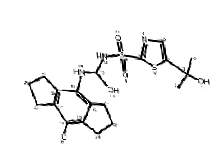 CC(C)(O)c1cnc(S(=O)(=O)NC(O)Nc2c3c(c(Cl)c4c2CCC4)CCC3)s1